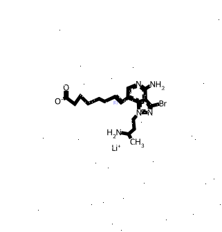 CC(N)CCn1nc(Br)c2c(N)ncc(/C=C/CCCCCC(=O)[O-])c21.[Li+]